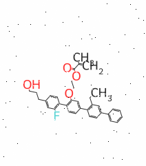 C=C(C)C(=O)OCCOc1cc(-c2ccc(-c3ccccc3)cc2CC)ccc1-c1ccc(CCCO)cc1F